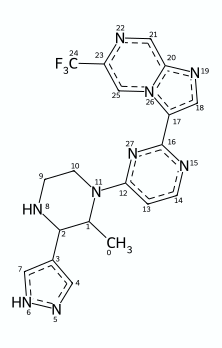 CC1C(c2cn[nH]c2)NCCN1c1ccnc(-c2cnc3cnc(C(F)(F)F)cn23)n1